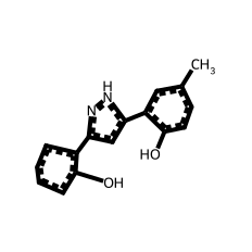 Cc1ccc(O)c(-c2cc(-c3ccccc3O)n[nH]2)c1